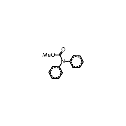 [CH2]OC(=O)N(c1ccccc1)c1ccccc1